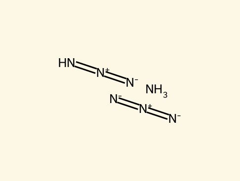 N.[N-]=[N+]=N.[N-]=[N+]=[N-]